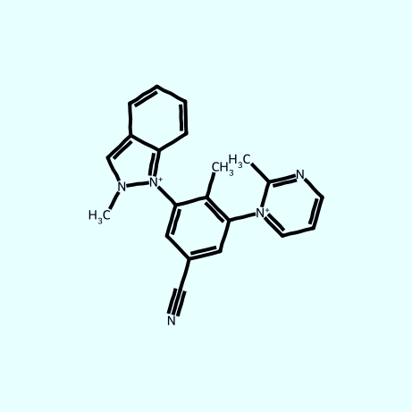 Cc1c(-[n+]2cccnc2C)cc(C#N)cc1-[n+]1c2ccccc2cn1C